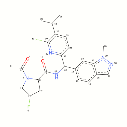 CC(=O)N1CC(F)CC1C(=O)NC(c1ccc2cnn(C)c2c1)c1ccc(C(C)C)c(F)n1